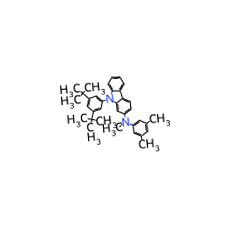 Cc1cc(C)cc(N(C)c2ccc3c4ccccc4n(-c4cc(C(C)(C)C)cc(C(C)(C)C)c4)c3c2)c1